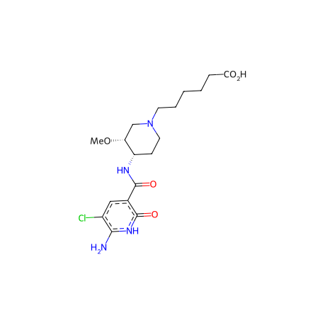 CO[C@@H]1CN(CCCCCC(=O)O)CC[C@@H]1NC(=O)c1cc(Cl)c(N)[nH]c1=O